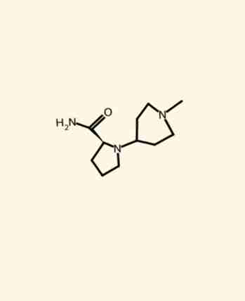 CN1CCC(N2CCC[C@H]2C(N)=O)CC1